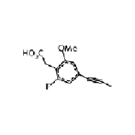 CC#Cc1cc(F)c(CC(=O)O)c(OC)c1